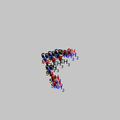 CCOC(=S)N(CC)CC.CCOC(=S)N(CC)CC.CCOC(=S)N(CC)CC.CCOC(=S)N(CC)CC.NC(O)=S.NC(O)=S.NC(O)=S.NC(O)=S